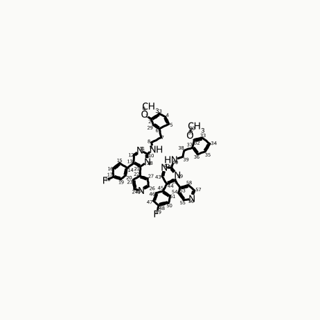 COc1cccc(CCNc2ncc(-c3ccc(F)cc3)c(-c3ccncc3)n2)c1.COc1ccccc1CCNc1ncc(-c2ccc(F)cc2)c(-c2ccncc2)n1